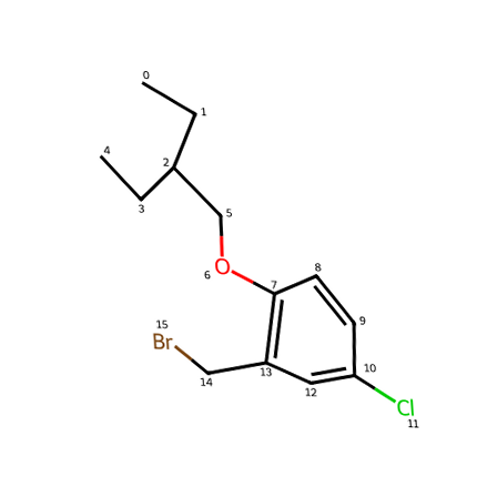 CCC(CC)COc1ccc(Cl)cc1CBr